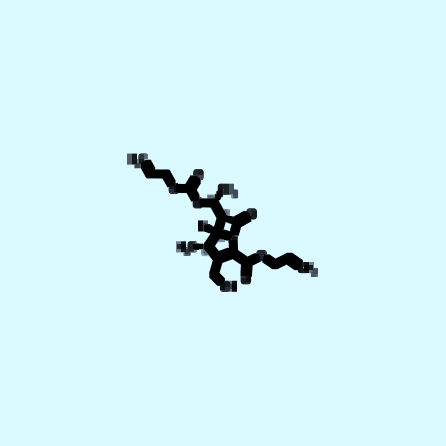 C=CCOC(=O)O[C@H](C)[C@H]1C(=O)N2C(C(=O)OCC=C)=C(CO)[C@H](C)[C@H]12